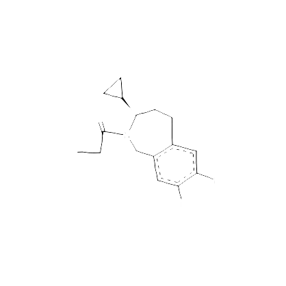 O=C(CBr)N1Cc2cc(F)c(F)cc2CC[C@@H]1C1CC1